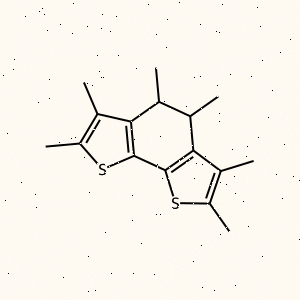 Cc1sc2c(c1C)C(C)C(C)c1c-2sc(C)c1C